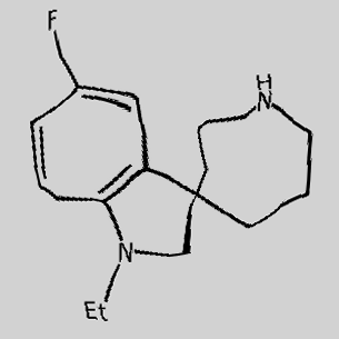 CCN1C[C@@]2(CCCNC2)c2cc(F)ccc21